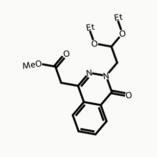 CCOC(Cn1nc(CC(=O)OC)c2ccccc2c1=O)OCC